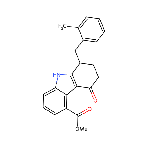 COC(=O)c1cccc2[nH]c3c(c12)C(=O)CCC3Cc1ccccc1C(F)(F)F